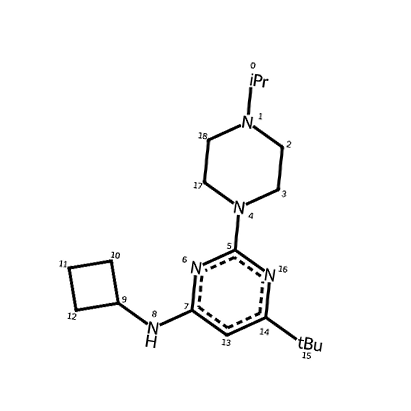 CC(C)N1CCN(c2nc(NC3CCC3)cc(C(C)(C)C)n2)CC1